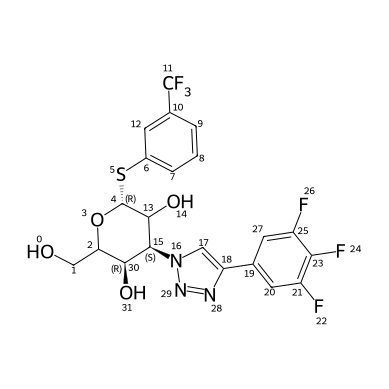 OCC1O[C@H](Sc2cccc(C(F)(F)F)c2)C(O)[C@@H](n2cc(-c3cc(F)c(F)c(F)c3)nn2)[C@H]1O